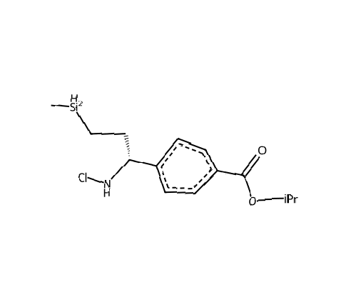 C[SiH2]CC[C@@H](NCl)c1ccc(C(=O)OC(C)C)cc1